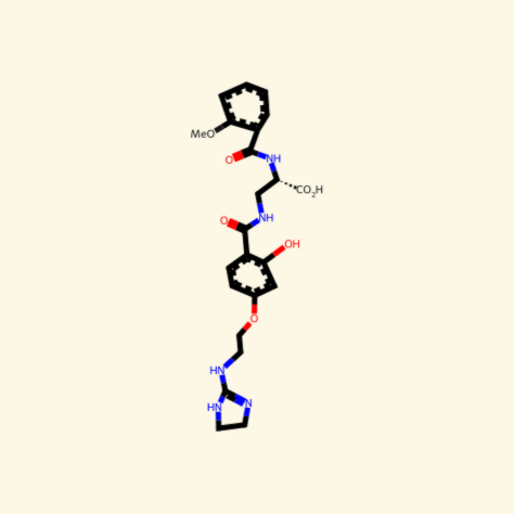 COc1ccccc1C(=O)N[C@@H](CNC(=O)c1ccc(OCCNC2=NCCN2)cc1O)C(=O)O